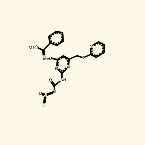 COC(=O)c1ccccc1.COc1cc(CSc2ccccn2)nc(NC(=O)N=S(=O)=O)n1